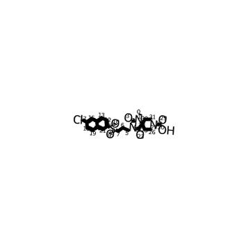 CN1C(=O)N(CCCS(=O)(=O)c2ccc3cc(Cl)ccc3c2)C(=O)C12CCN(C(=O)O)CC2